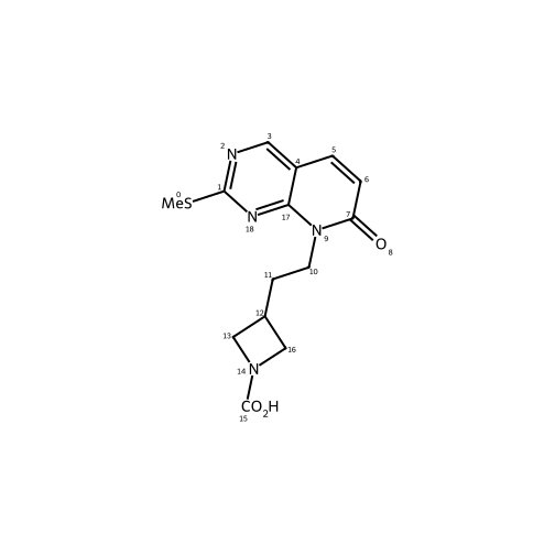 CSc1ncc2ccc(=O)n(CCC3CN(C(=O)O)C3)c2n1